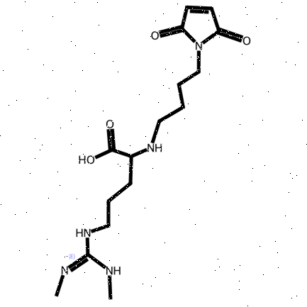 C/N=C(\NC)NCCCC(NCCCCN1C(=O)C=CC1=O)C(=O)O